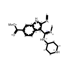 C=Nc1[nH]c2cc(C(=O)OC)ccc2c1/C(=N\C)NC1CCNCC1